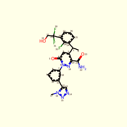 CC(c1cc(=O)n(-c2cccc(-c3cnnn3C)c2)nc1C(N)=O)c1cccc(C(F)(F)CO)c1F